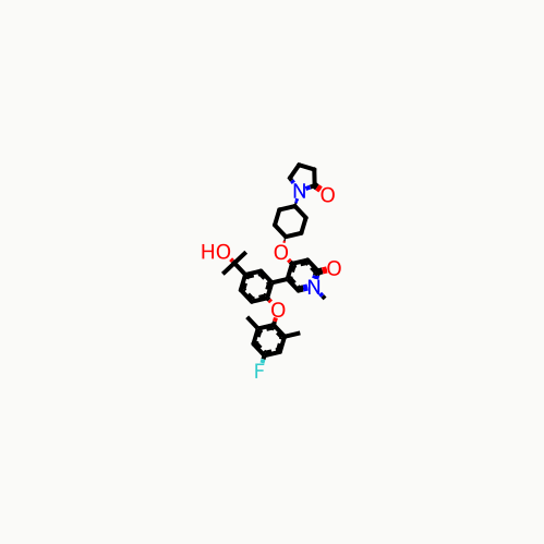 Cc1cc(F)cc(C)c1Oc1ccc(C(C)(C)O)cc1-c1cn(C)c(=O)cc1O[C@H]1CC[C@H](N2CCCC2=O)CC1